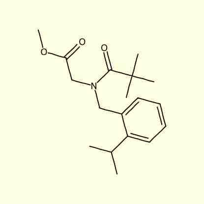 COC(=O)CN(Cc1ccccc1C(C)C)C(=O)C(C)(C)C